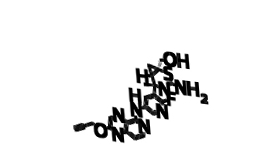 C#CCOc1cnc2c(Nc3cnc(F)c([C@@]4(C)N=C(N)S[C@]5(CO)C[C@H]54)c3)nccc2n1